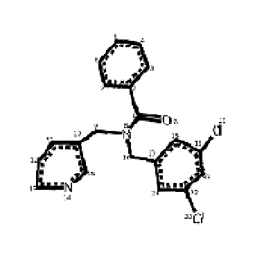 O=C(c1ccccc1)N(Cc1cccnc1)Cc1cc(Cl)cc(Cl)c1